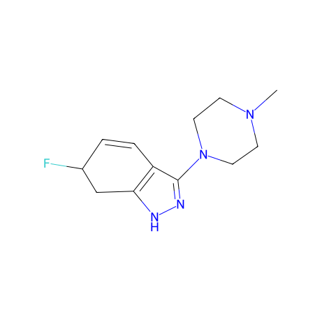 CN1CCN(c2n[nH]c3c2C=CC(F)C3)CC1